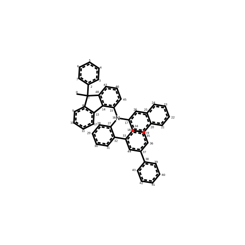 CC1(c2ccccc2)c2ccccc2-c2c(N(c3ccc4ccccc4c3)c3ccccc3-c3cccc(-c4ccccc4)c3)cccc21